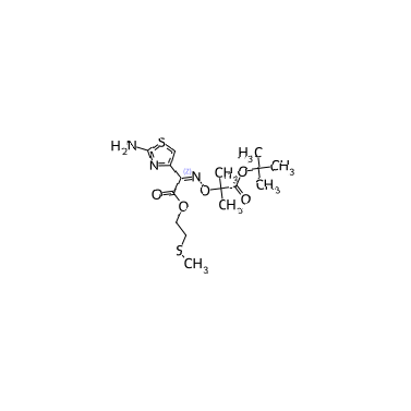 CSCCOC(=O)/C(=N\OC(C)(C)C(=O)OC(C)(C)C)c1csc(N)n1